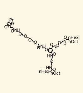 CCCCCCCCC(CCCCCC)C(=O)NCCOCCNC(=O)c1cc(OCCNC(=O)CCOCCOCCOCCOCCNC(=O)CCN2C(=O)CC(C(C)C)C2=O)cc(C(=O)NCCOCCNC(=O)C(CCCCCC)CCCCCCCC)c1